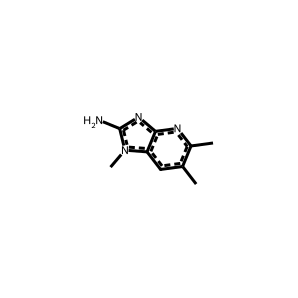 Cc1cc2c(nc1C)nc(N)n2C